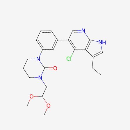 CCc1c[nH]c2ncc(-c3cccc(N4CCCN(CC(OC)OC)C4=O)c3)c(Cl)c12